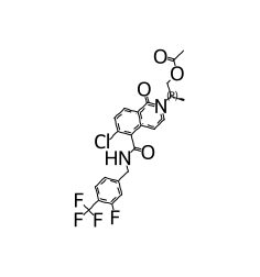 CC(=O)OC[C@@H](C)n1ccc2c(C(=O)NCc3ccc(C(F)(F)F)c(F)c3)c(Cl)ccc2c1=O